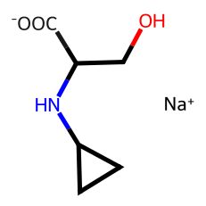 O=C([O-])C(CO)NC1CC1.[Na+]